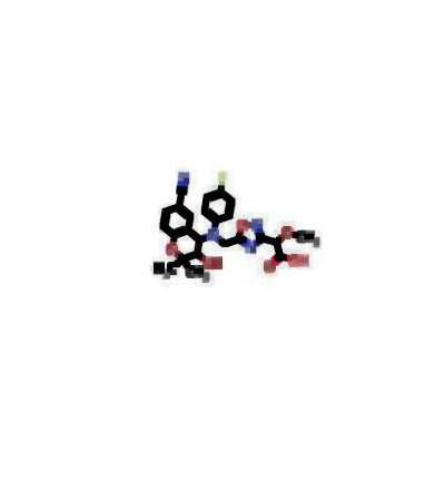 COC(C(=O)O)c1noc(CN(c2ccc(F)cc2)C2c3cc(C#N)ccc3OC(C)(C)C2O)n1